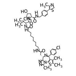 Cc1ncsc1-c1ccc(CNC(=O)[C@@H]2C[C@@H](O)CN2C(=O)C(NC(=O)CCCCCCCCNC(=O)C[C@@H]2N=C(c3ccc(Cl)cc3)c3c(sc(C)c3C)-n3c(C)nnc32)C(C)(C)C)cc1